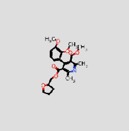 COC(=O)c1c(C)nc(C)c(C(=O)OCC2CCCO2)c1-c1cccc(OC)c1OC